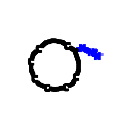 [N-]=[N+]=NC1CCCCCCCCCCCCCCCCC1